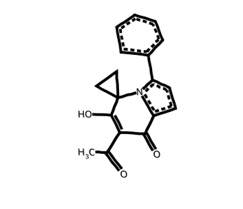 CC(=O)C1=C(O)C2(CC2)n2c(ccc2-c2ccccc2)C1=O